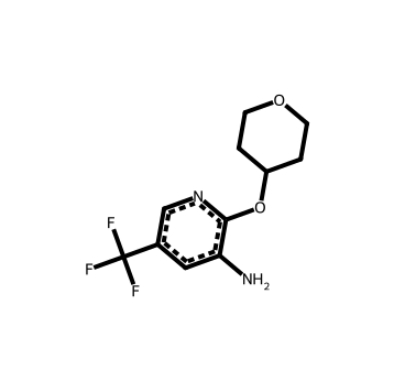 Nc1cc(C(F)(F)F)cnc1OC1CCOCC1